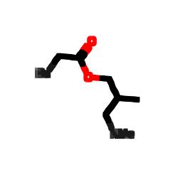 CCC(C)CC(=O)OCC(C)CNC